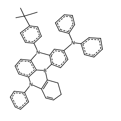 CC(C)(C)c1ccc(N2c3cc(N(c4ccccc4)c4ccccc4)ccc3B3C4=C(C=CCC4)N(c4ccccc4)c4cccc2c43)cc1